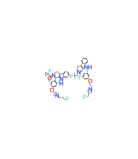 CC(C)(F)CN1CCc2c([nH]c3ccccc23)[C@@H]1c1c(F)cc(OCCN2CC(CF)C2)cc1F.C[C@@H]1Cc2c([nH]c3ccccc23)[C@@H](c2c(F)cc(OC3CN(CCCF)C3)cc2F)N1C(=O)C1(F)CC1